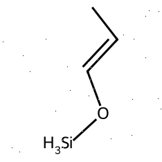 CC=CO[SiH3]